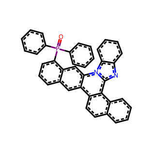 O=P(c1ccccc1)(c1ccccc1)c1cccc2cc3c4ccc5ccccc5c4c4nc5ccccc5n4c3cc12